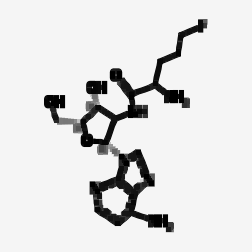 Nc1ccnc2c1ncn2[C@@H]1O[C@H](CO)[C@H](O)C1NC(=O)C(N)CCCF